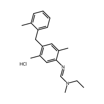 CCN(C)C=Nc1cc(C)c(Cc2ccccc2C)cc1C.Cl